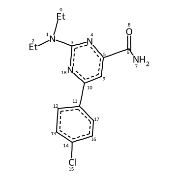 CCN(CC)c1nc(C(N)=O)cc(-c2ccc(Cl)cc2)n1